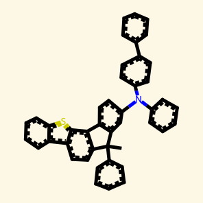 CC1(c2ccccc2)c2cc(N(c3ccccc3)c3ccc(-c4ccccc4)cc3)ccc2-c2c1ccc1c2sc2ccccc21